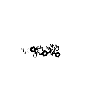 Cc1ccc(C)c(C(=O)NCc2ccc(-c3nc(C4CCCC4)n4c(=O)[nH]nc(N)c34)cc2)c1